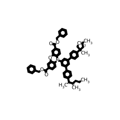 CCC[C@H](C)[C@H](C)c1ccc(-c2cc(-c3ccc(C(C)(CC)CCC)cc3)cc(N3c4ccc(C(=O)OCc5ccccc5)cc4Oc4cc(C(=O)OCc5ccccc5)ccc43)c2)cc1